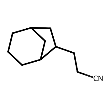 N#CCCC1CC2CCCC1C2